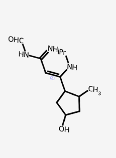 CC(C)N/C(=C\C(=N)NC=O)C1CC(O)CC1C